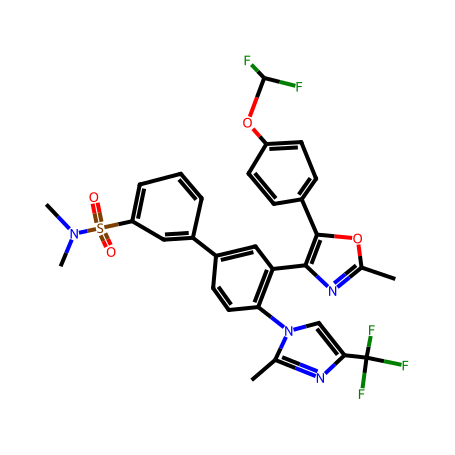 Cc1nc(-c2cc(-c3cccc(S(=O)(=O)N(C)C)c3)ccc2-n2cc(C(F)(F)F)nc2C)c(-c2ccc(OC(F)F)cc2)o1